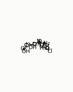 O=C(O)C[C@H]1CCCN(C[C@H](O)c2ccc(-c3noc(-c4cnn(-c5ncc(Cl)cc5F)c4C(F)(F)F)n3)cc2)C1